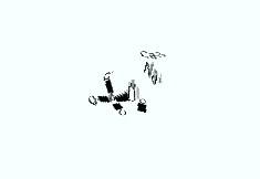 C=O.O=P([O-])([O-])[O-].[Ca+2].[Na+]